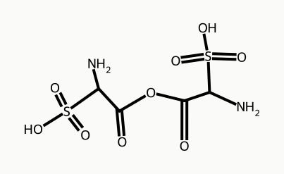 NC(C(=O)OC(=O)C(N)S(=O)(=O)O)S(=O)(=O)O